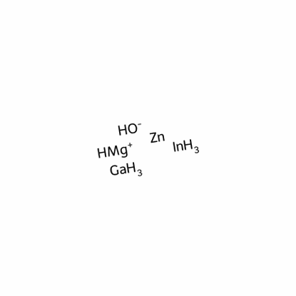 [GaH3].[InH3].[MgH+].[OH-].[Zn]